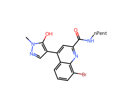 CCCCCNC(=O)c1cc(-c2cnn(C)c2O)c2cccc(Br)c2n1